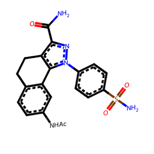 CC(=O)Nc1ccc2c(c1)-c1c(c(C(N)=O)nn1-c1ccc(S(N)(=O)=O)cc1)CC2